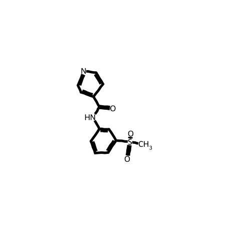 CS(=O)(=O)c1cccc(NC(=O)c2ccncc2)c1